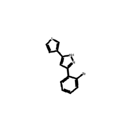 Brc1ccccc1-c1cc(-c2ccsc2)[nH]n1